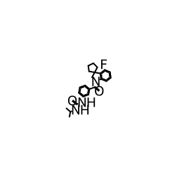 CC(C)NC(=O)Nc1cccc(C(=O)N2CC3(CCCC3)c3c(F)cccc32)c1